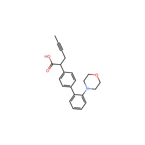 CC#CCC(C(=O)O)c1ccc(-c2ccccc2N2CCOCC2)cc1